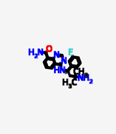 CC(C)(N)C[C@@H](Nc1ncnc2c(C(N)=O)cccc12)c1cccc(F)c1